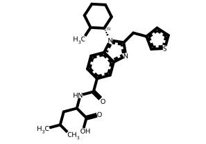 CC(C)CC(NC(=O)c1ccc2c(c1)nc(Cc1ccsc1)n2[C@H]1CCCCC1C)C(=O)O